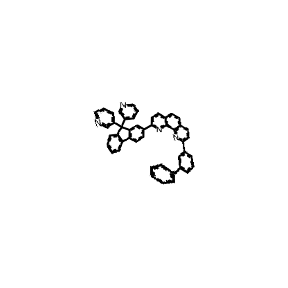 c1ccc(-c2cccc(-c3ccc4ccc5ccc(-c6ccc7c(c6)C(c6cccnc6)(c6cccnc6)c6ccccc6-7)nc5c4n3)c2)cc1